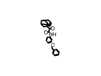 O=C(Nc1cccc(OCc2ccccc2)c1)C(=O)C12CC3CC(CC(C3)C1)C2